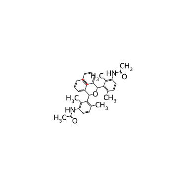 CC(=O)Nc1ccc(C)c(C(OC(c2ccccc2)c2c(C)ccc(NC(C)=O)c2C)c2ccccc2)c1C